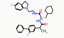 CC(C(=O)N[C@@H](CC1CCCCC1)C(=O)NCCN1CCc2cc(F)ccc21)c1ccc(-c2ccccc2)c(F)c1